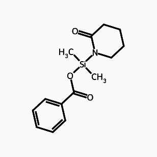 C[Si](C)(OC(=O)c1ccccc1)N1CCCCC1=O